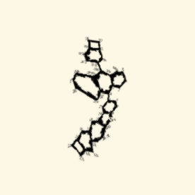 c1ccc2c(-c3ccc4sc5cc6cc7c(cc6cc5c4c3)CC7)c3ccccc3c(-c3ccc4c(c3)CC4)c2c1